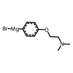 CN(C)CCOc1cc[c]([Mg][Br])cc1